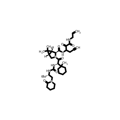 C#CCC(NC(=O)[C@@H]1[C@@H]2[C@H](CN1C(=O)[C@@H](NC(=O)N[C@H](CN1CCCCC1=O)C(C)(C)C)C1(C)CCCCC1)C2(C)C)C(=O)C(=O)NCC=C